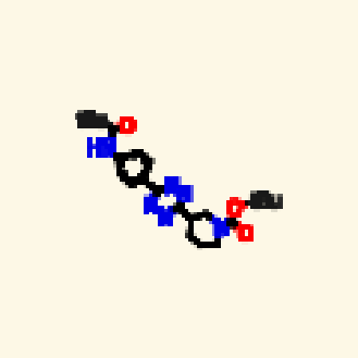 CC(C)(C)OC(=O)N1CCCC(c2nnc(-c3ccc(NC(=O)C(C)(C)C)cc3)nn2)C1